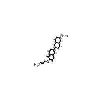 CC=CCOc1c(F)cc2cc(C3CCC4CC(CCCCCC)CCC4C3)ccc2c1F